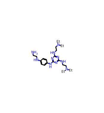 CCN(CC)CCNc1nc(NCCN(CC)CC)nc(Nc2ccc(NCCN)cc2)n1